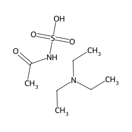 CC(=O)NS(=O)(=O)O.CCN(CC)CC